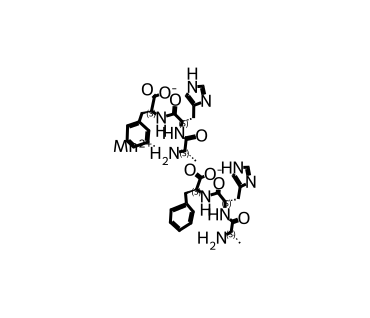 C[C@H](N)C(=O)N[C@@H](Cc1c[nH]cn1)C(=O)N[C@@H](Cc1ccccc1)C(=O)[O-].C[C@H](N)C(=O)N[C@@H](Cc1c[nH]cn1)C(=O)N[C@@H](Cc1ccccc1)C(=O)[O-].[Mn+2]